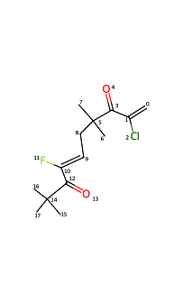 C=C(Cl)C(=O)C(C)(C)C/C=C(\F)C(=O)C(C)(C)C